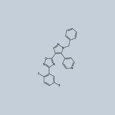 Fc1ccc(F)c(-c2noc(-c3cnn(Cc4ccccc4)c3-c3ccncc3)n2)c1